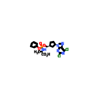 C[C@H](NP(=O)(OC[C@@H]1C=C[C@H](n2cnc3c(Cl)nc(Cl)nc32)C1)Oc1ccccc1)C(=O)O